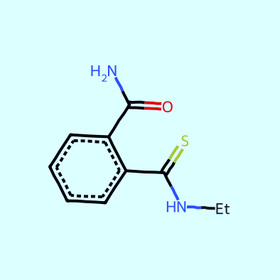 CCNC(=S)c1ccccc1C(N)=O